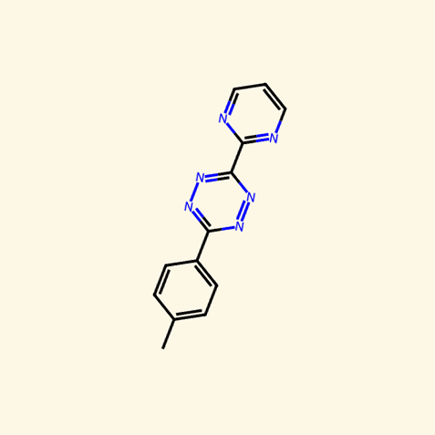 Cc1ccc(-c2nnc(-c3ncccn3)nn2)cc1